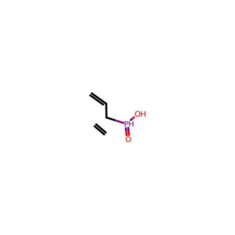 C=C.C=CC[PH](=O)O